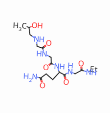 CCNC(=O)CNC(=O)C(CCC(N)=O)NC(=O)CNC(=O)CNCC(C)O